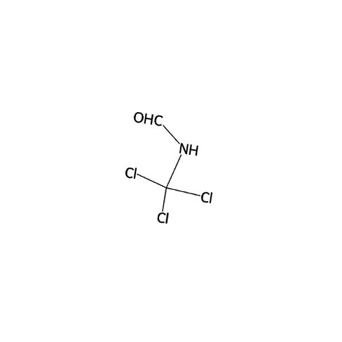 O=CNC(Cl)(Cl)Cl